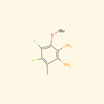 Cc1c(F)c(F)c(OC(C)(C)C)c(P)c1P